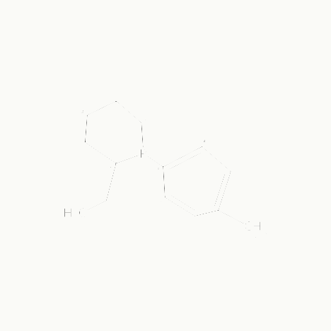 CCC1CCCCP1c1ccc(C)cc1